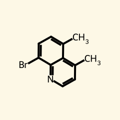 Cc1ccnc2c(Br)ccc(C)c12